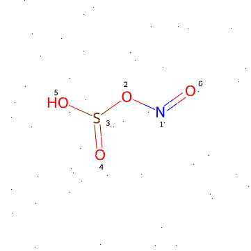 O=NOS(=O)O